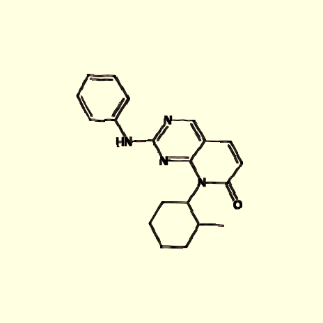 CC1CCCCC1n1c(=O)ccc2cnc(Nc3ccccc3)nc21